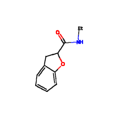 CCNC(=O)C1Cc2ccccc2O1